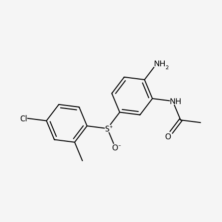 CC(=O)Nc1cc([S+]([O-])c2ccc(Cl)cc2C)ccc1N